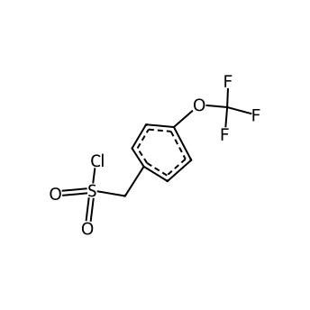 O=S(=O)(Cl)Cc1ccc(OC(F)(F)F)cc1